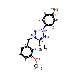 COc1cccc(CN2CN(c3ccc(Br)cc3)N=C2C)c1